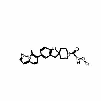 CCONC(=O)N1CCC2(CC1)Cc1cc(-c3ccc4ccnn4c3C)ccc1O2